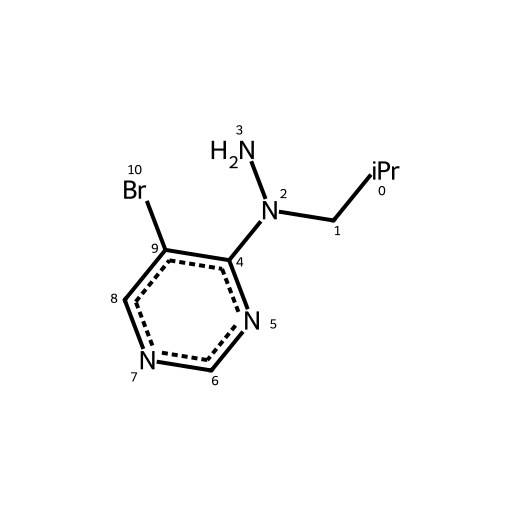 CC(C)CN(N)c1ncncc1Br